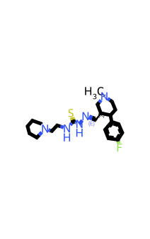 CN1CCC(c2ccc(F)cc2)[C@@H](/C=N/NC(=S)NCCN2CCCCC2)C1